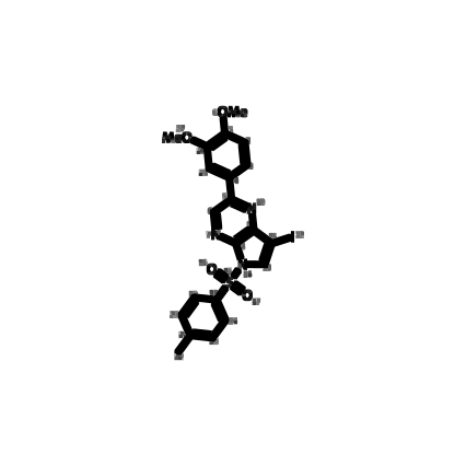 COc1ccc(-c2cnc3c(n2)c(I)cn3S(=O)(=O)c2ccc(C)cc2)cc1OC